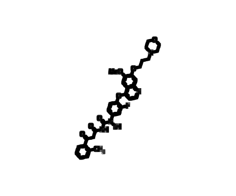 COc1cc2c(Oc3ccc(N(S)C(=O)NC(=O)CC(=O)c4ccccc4C)cc3F)ccnc2cc1OCCCN1CCOCC1